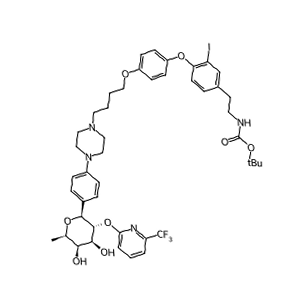 C[C@H]1O[C@@H](c2ccc(N3CCN(CCCCOc4ccc(Oc5ccc(CCNC(=O)OC(C)(C)C)cc5I)cc4)CC3)cc2)[C@H](Oc2cccc(C(F)(F)F)n2)[C@@H](O)[C@H]1O